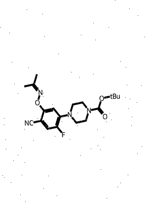 CC(C)=NOc1cc(N2CCN(C(=O)OC(C)(C)C)CC2)c(F)cc1C#N